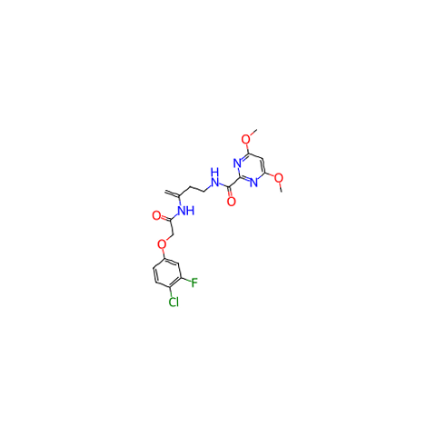 C=C(CCNC(=O)c1nc(OC)cc(OC)n1)NC(=O)COc1ccc(Cl)c(F)c1